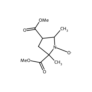 COC(=O)C1CC(C)(C(=O)OC)N([O])C1C